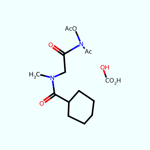 CC(=O)ON(C(C)=O)C(=O)CN(C)C(=O)C1CCCCC1.O=C(O)O